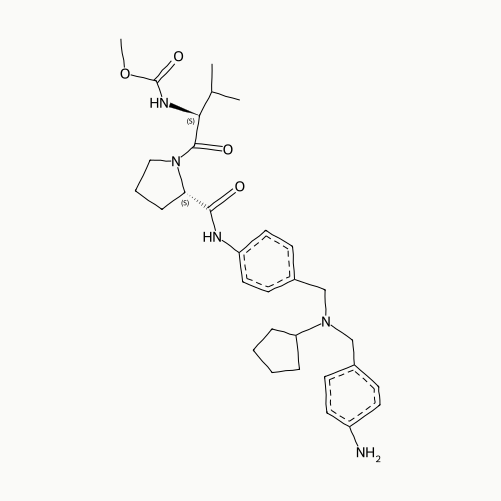 COC(=O)N[C@H](C(=O)N1CCC[C@H]1C(=O)Nc1ccc(CN(Cc2ccc(N)cc2)C2CCCC2)cc1)C(C)C